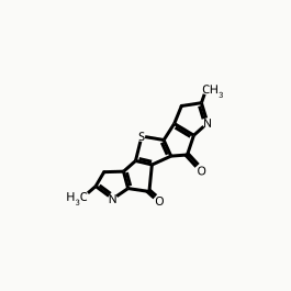 CC1=Nc2c(c3sc4c5c(c(=O)c4c3c2=O)N=C(C)C5)C1